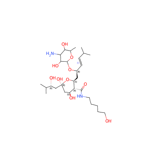 CC(C)/C=C/[C@@H](C[C@@H]1O[C@](O)(C[C@@H](O)C(C)C)C[C@H](O)[C@H]1C(=O)NCCCCCO)OC1OC(C)C(O)C(N)C1O